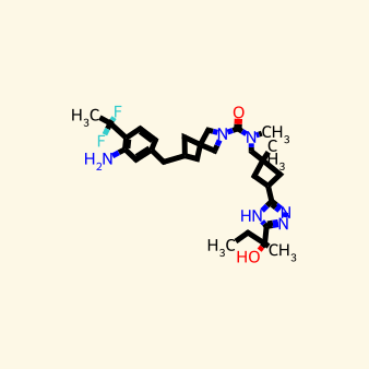 CCC(C)(O)c1nnc(C2CC(C)(CN(C)C(=O)N3CC4(CC(Cc5ccc(C(C)(F)F)c(N)c5)C4)C3)C2)[nH]1